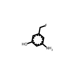 Nc1cc(O)cc(CF)c1